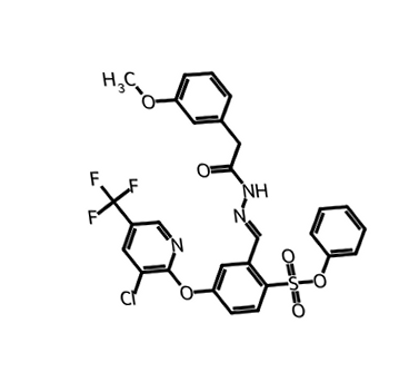 COc1cccc(CC(=O)N/N=C/c2cc(Oc3ncc(C(F)(F)F)cc3Cl)ccc2S(=O)(=O)Oc2ccccc2)c1